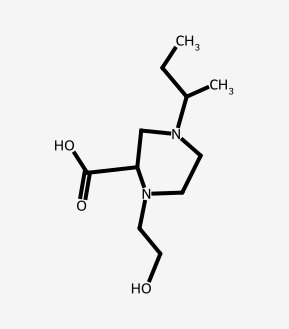 CCC(C)N1CCN(CCO)C(C(=O)O)C1